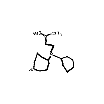 CON(C)CCN(C1CCCCC1)C1CCNCC1